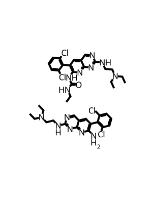 CCN(CC)CCNc1ncc2cc(-c3c(Cl)cccc3Cl)c(N)nc2n1.CCNC(=O)Nc1nc2nc(NCCN(CC)CC)ncc2cc1-c1c(Cl)cccc1Cl